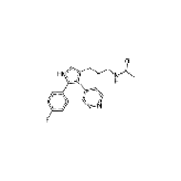 CC(=O)NCCCc1c[nH]c(-c2ccc(F)cc2)c1-c1ccncc1